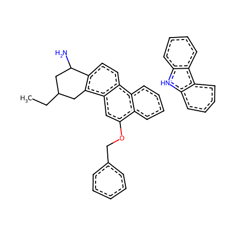 CCC1Cc2c(ccc3c2cc(OCc2ccccc2)c2ccccc23)C(N)C1.c1ccc2c(c1)[nH]c1ccccc12